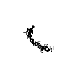 O=C1CCC(N2Cc3cc(C4(F)CCN(Cc5ccc(-c6ccc(Nc7ncc(C8CC8)cn7)cn6)cc5)CC4)ccc3C2=O)C(=O)N1